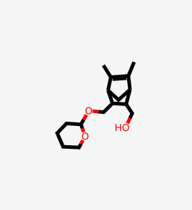 CC1=C(C)C2CC1C(CO)C2COC1CCCCO1